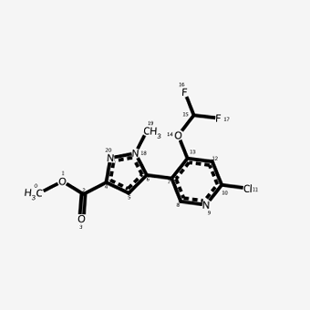 COC(=O)c1cc(-c2cnc(Cl)cc2OC(F)F)n(C)n1